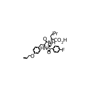 C=CCOc1ccc(C[C@H](NS(=O)(=O)c2ccc(F)cc2)C(=O)N[C@@H](CC(C)C)C(=O)O)cc1